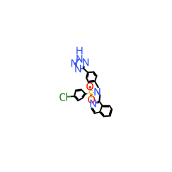 O=S(=O)(c1ccc(Cl)cc1)N(Cc1ccc(-c2nn[nH]n2)cc1)Cc1nccc2ccccc12